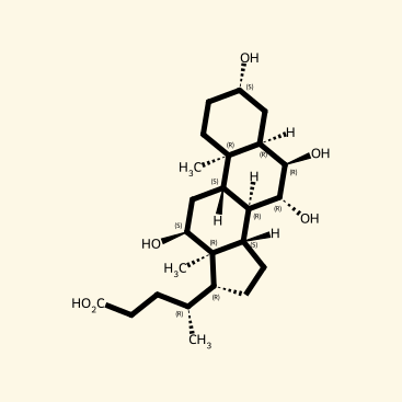 C[C@H](CCC(=O)O)[C@H]1CC[C@H]2[C@@H]3[C@@H](O)[C@H](O)[C@@H]4C[C@@H](O)CC[C@]4(C)[C@H]3C[C@H](O)[C@]12C